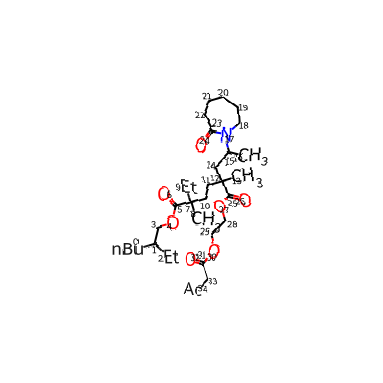 CCCCC(CC)COC(=O)C(C)(CC)CCC(C)(CC(C)N1CCCCCC1=O)C(=O)OCCOC(=O)CC(C)=O